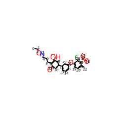 CCON=CCCC1=C(O)CC(c2cccc(OC3=CC=C(C)C(=S(=O)=O)C3F)c2)CC1=O